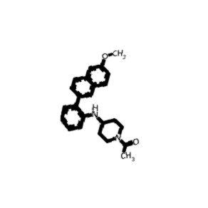 COc1ccc2cc(-c3ccccc3NC3CCN(C(C)=O)CC3)ccc2c1